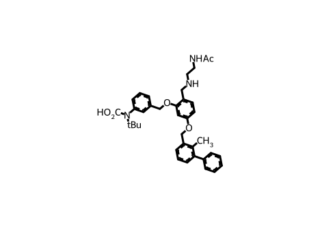 CC(=O)NCCNCc1ccc(OCc2cccc(-c3ccccc3)c2C)cc1OCc1cccc(N(C(=O)O)C(C)(C)C)c1